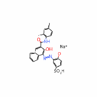 Cc1ccc(NC(=O)c2cc3ccccc3c(N=Nc3cc(S(=O)(=O)O)ccc3[O-])c2O)c(C)c1.[Na+]